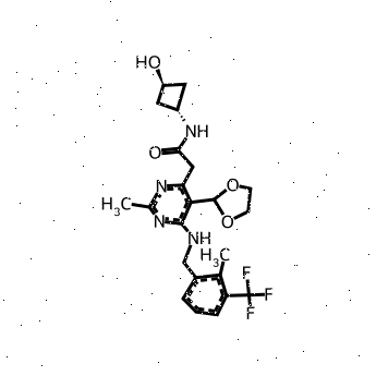 Cc1nc(CC(=O)N[C@H]2C[C@H](O)C2)c(C2OCCO2)c(NCc2cccc(C(F)(F)F)c2C)n1